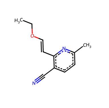 CCOC=Cc1nc(C)ccc1C#N